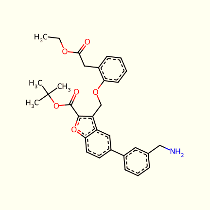 CCOC(=O)Cc1ccccc1OCc1c(C(=O)OC(C)(C)C)oc2ccc(-c3cccc(CN)c3)cc12